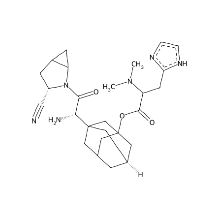 CN(C)C(Cc1ncc[nH]1)C(=O)OC12CC3C[C@H](C1)CC([C@H](N)C(=O)N1C4CC4C[C@H]1C#N)(C3)C2